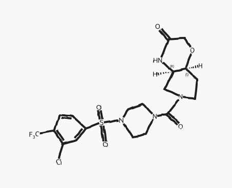 O=C1CO[C@H]2CCN(C(=O)N3CCN(S(=O)(=O)c4ccc(C(F)(F)F)c(Cl)c4)CC3)C[C@H]2N1